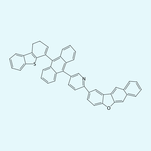 C1=C(c2c3ccccc3c(-c3ccc(-c4ccc5oc6cc7ccccc7cc6c5c4)nc3)c3ccccc23)c2sc3ccccc3c2CC1